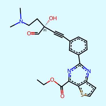 CCOC(=O)c1nc(-c2cccc(C#C[C@@](O)(C=O)CCN(C)C)c2)nc2ccsc12